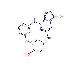 CCn1cnc2c(Nc3cccc(OC)c3)nc(N[C@H]3CC[C@H](O)CC3)nc21